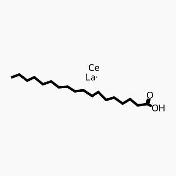 CCCCCCCCCCCCCCCCCC(=O)O.[Ce].[La]